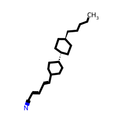 CCCCC[C@H]1CC[C@H](C2CCC(/C=C/C=C/C#N)CC2)CC1